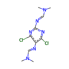 CN(C)/C=N/c1nc(Cl)c(/N=C/N(C)C)c(Cl)n1